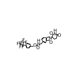 O=C1CCC(N2Cc3ccc(CNC(=O)OCc4ccc(C(F)(C(F)(F)F)C(F)(F)F)cc4)cc3C2=O)C(=O)N1